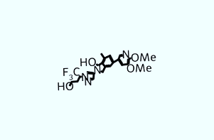 COc1cc(-c2cc(C)c3c(c2)CN(c2cnn([C@H](CCO)C(F)(F)F)c2)C3O)cnc1OC